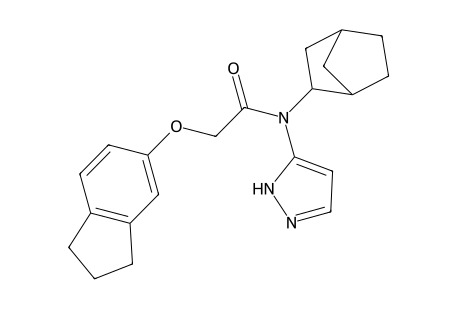 O=C(COc1ccc2c(c1)CCC2)N(c1ccn[nH]1)C1CC2CCC1C2